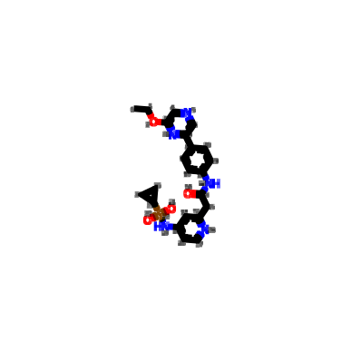 CCOc1cncc(-c2ccc(NC(=O)Cc3cc(NS(=O)(=O)C4CC4)ccn3)cc2)n1